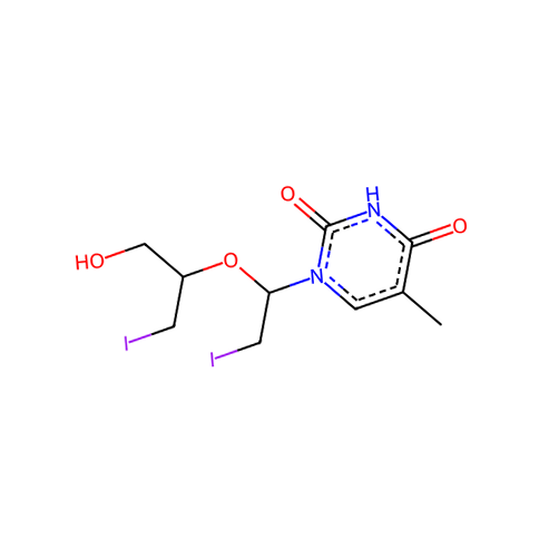 Cc1cn(C(CI)OC(CO)CI)c(=O)[nH]c1=O